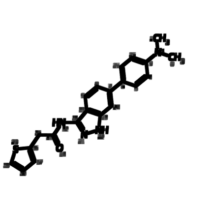 CN(C)c1ccc(-c2ccc3c(NC(=O)Cc4cccs4)n[nH]c3c2)cc1